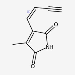 C#C/C=C\C1=C(C)C(=O)NC1=O